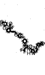 Cn1c(=O)n(C2CCC(=O)NC2=O)c2cccc(C#CCOC3CCN(C[C@H]4CC[C@H](n5cc(NC(=O)c6cnn7ccc(N8CCC9(COC9)C8)nc67)c(C(F)F)n5)CC4)CC3)c21